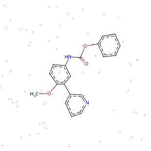 COc1ccc(NC(=O)Oc2ccccc2)cc1-c1cccnc1